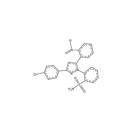 NS(=O)(=O)c1ccccc1-n1nc(-c2ccc(Cl)cc2)cc1-c1ccccc1[N+](=O)[O-]